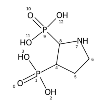 O=P(O)(O)C1CCNC1P(=O)(O)O